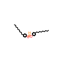 CCCCCCCCCc1ccc(OPOc2ccc(CCCCCCCCC)cc2)cc1